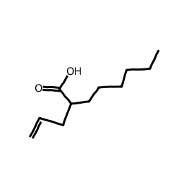 C=CCC(CCCCCC)C(=O)O